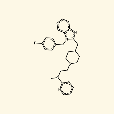 CN(CCN1CCC(Cc2nc3ccccc3n2Cc2ccc(F)cc2)CC1)c1ncccn1